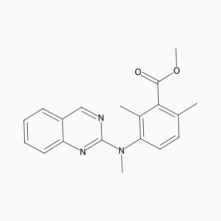 COC(=O)c1c(C)ccc(N(C)c2ncc3ccccc3n2)c1C